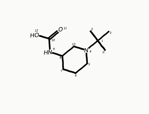 CC(C)(C)N1CCCC(NC(=O)O)C1